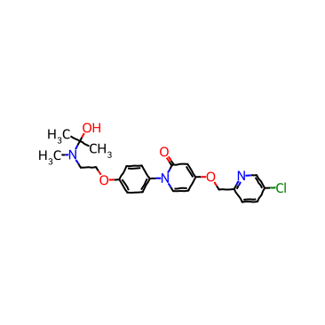 CN(CCOc1ccc(-n2ccc(OCc3ccc(Cl)cn3)cc2=O)cc1)C(C)(C)O